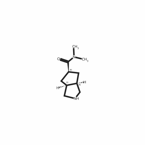 CN(C)C(=O)[C@H]1C[C@H]2CNC[C@H]2C1